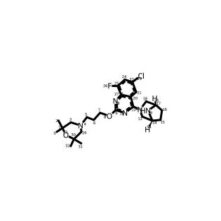 CC1(C)CN(CCCOc2nc(N3C[C@H]4CC[C@@H](C3)N4)c3cc(Cl)cc(F)c3n2)CC(C)(C)O1